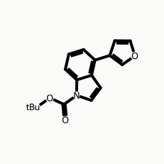 CC(C)(C)OC(=O)n1ccc2c(-c3ccoc3)cccc21